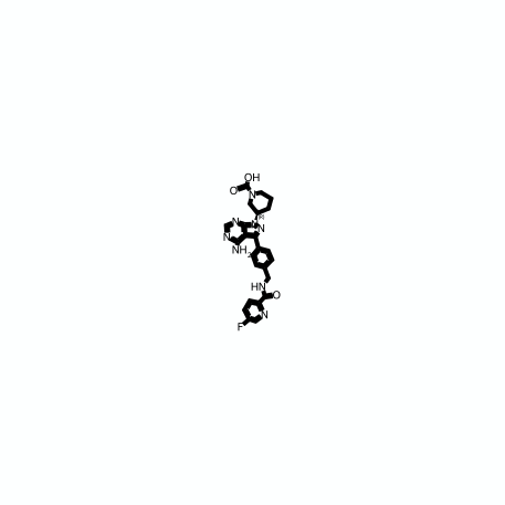 Nc1ncnc2c1c(-c1ccc(CNC(=O)c3ccc(F)cn3)cc1)nn2[C@@H]1CCCN(C(=O)O)C1